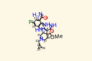 COC(=O)C1(/C(C=N)=C2\Nc3cc(F)cc(C(N)=O)c3N2)CCN(CC2CC2)CC1